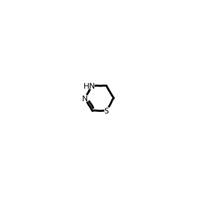 C1=NNCCS1